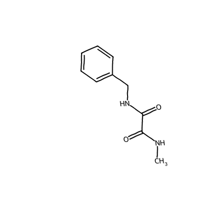 CNC(=O)C(=O)NCc1ccccc1